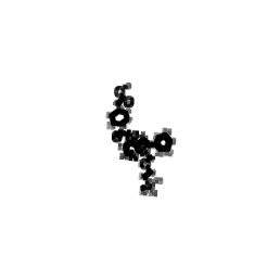 COC(=O)C[C@H]1CC[C@H](C(=O)Nc2ccnc3c2cc(-c2ccccc2)n3COCC[Si](C)(C)C)CC1